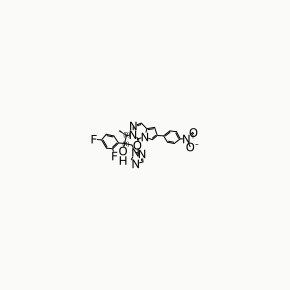 C[C@@H](n1ncc2cc(-c3ccc([N+](=O)[O-])cc3)cn2c1=O)[C@](O)(Cn1cncn1)c1ccc(F)cc1F